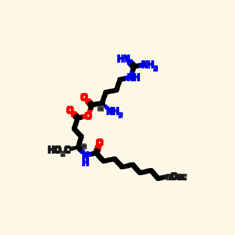 CCCCCCCCCCCCCCCCCC(=O)N[C@H](CCC(=O)OC(=O)[C@@H](N)CCCNC(=N)N)C(=O)O